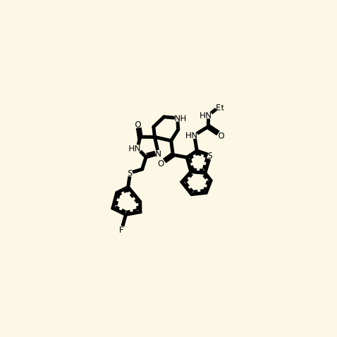 CCNC(=O)Nc1sc2ccccc2c1C(=O)C1CNCCC12N=C(CSc1ccc(F)cc1)NC2=O